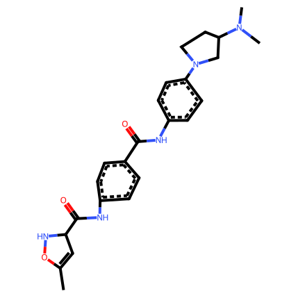 CC1=CC(C(=O)Nc2ccc(C(=O)Nc3ccc(N4CCC(N(C)C)C4)cc3)cc2)NO1